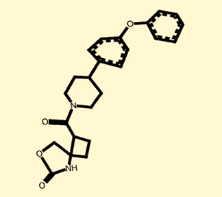 O=C1NC2(CCC2C(=O)N2CCC(c3ccc(Oc4ccccc4)cc3)CC2)CO1